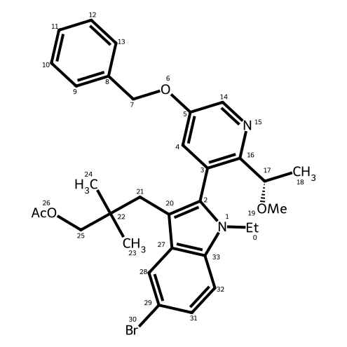 CCn1c(-c2cc(OCc3ccccc3)cnc2[C@H](C)OC)c(CC(C)(C)COC(C)=O)c2cc(Br)ccc21